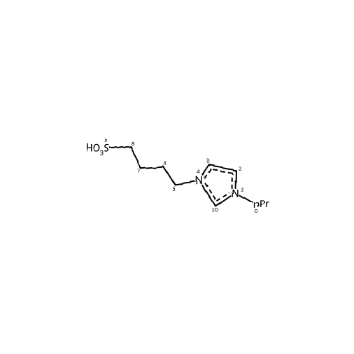 CCCn1cc[n+](CCCCS(=O)(=O)O)c1